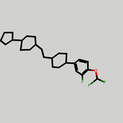 Fc1cc(C2CCC(CCC3CCC(C4CCCC4)CC3)CC2)ccc1OC(F)F